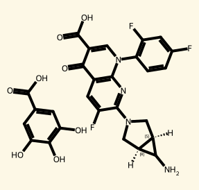 NC1[C@H]2CN(c3nc4c(cc3F)c(=O)c(C(=O)O)cn4-c3ccc(F)cc3F)C[C@@H]12.O=C(O)c1cc(O)c(O)c(O)c1